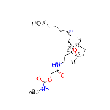 CCCCNC(=O)OCC(=O)NCC[C@H]1[C@@H](C/C=C\CCCC(=O)O)[C@H]2CC[C@@H]1O2